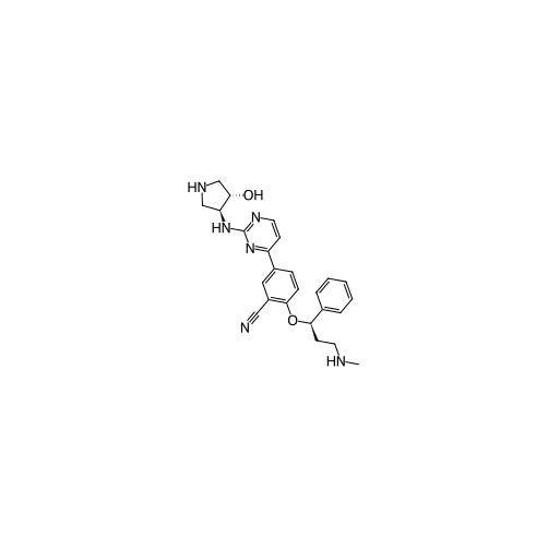 CNCC[C@@H](Oc1ccc(-c2ccnc(N[C@H]3CNC[C@@H]3O)n2)cc1C#N)c1ccccc1